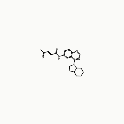 CC(=O)C=CC(=O)Nc1ccc2ncnc(N3CCC4CCCCC43)c2c1